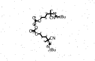 CC(C)(C)N=NC(C)(C#N)CCCOC(=O)OOC(=O)OCCCC(C)(C#N)N=NC(C)(C)C